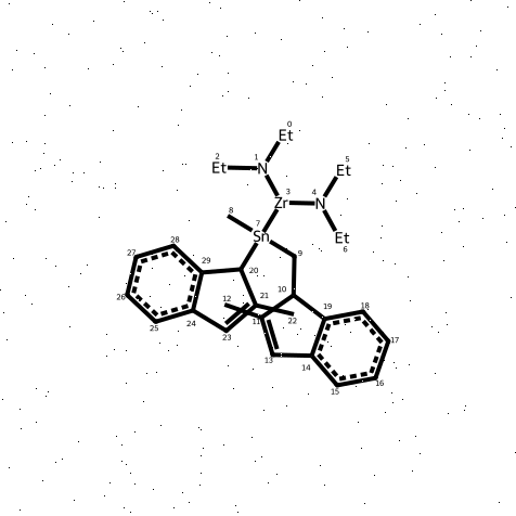 CC[N](CC)[Zr]([N](CC)CC)[Sn]([CH3])([CH2]C1C(C)=Cc2ccccc21)[CH]1C(C)=Cc2ccccc21